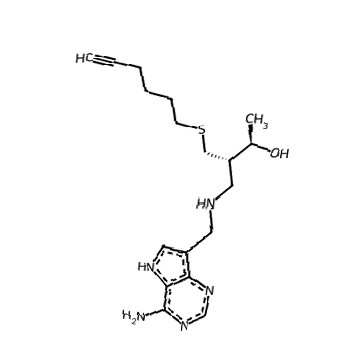 C#CCCCCSC[C@@H](CNCc1c[nH]c2c(N)ncnc12)[C@@H](C)O